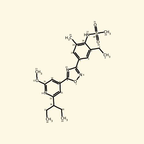 CCc1cc(-c2noc(-c3cc(OC)nc(C(CC)CC)c3)n2)cc(C)c1NS(C)(=O)=O